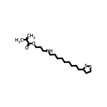 C=C(C)C(=O)OCCCNCCCCCCCCCC1CCSS1